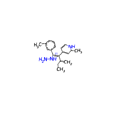 C=C(CC)/C(C1=CC(C)NC=C1)=C(\NN)c1cccc(C)c1